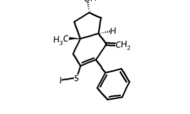 C=C1C(c2ccccc2)=C(SI)C[C@]2(C)C[C@H](O)C[C@@H]12